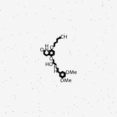 C#CCCCCOc1ccc(OCC(O)CNCCc2cc(OC)cc(OC)c2)c2c1NC(=O)CC2